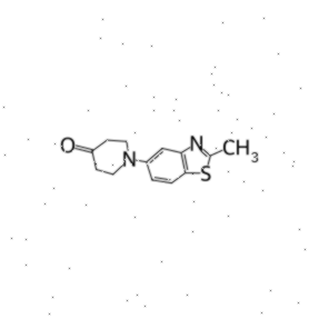 Cc1nc2cc(N3CCC(=O)CC3)ccc2s1